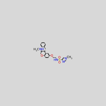 CN[C@H]1COc2ccc(OCCNS(=O)(=O)c3cn(C)cn3)cc2[C@H]1Cc1ccccc1